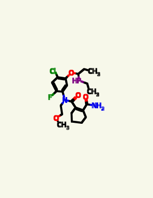 CCPC(CC)Oc1cc(N(CCOC)C(=O)C2=C(C(N)=O)CCCC2)c(F)cc1Cl